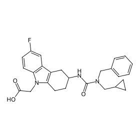 O=C(O)Cn1c2c(c3cc(F)ccc31)CC(NC(=O)N(Cc1ccccc1)CC1CC1)CC2